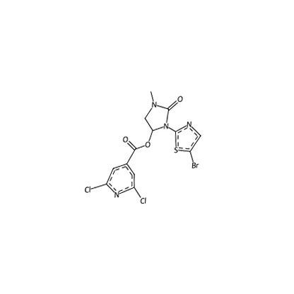 CN1CC(OC(=O)c2cc(Cl)nc(Cl)c2)N(c2ncc(Br)s2)C1=O